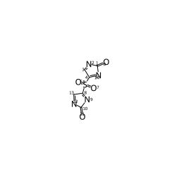 O=C1N=CC(S(=O)(=O)C2=NC(=O)N=C2)=N1